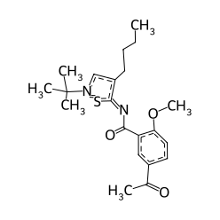 CCCCc1cn(C(C)(C)C)sc1=NC(=O)c1cc(C(C)=O)ccc1OC